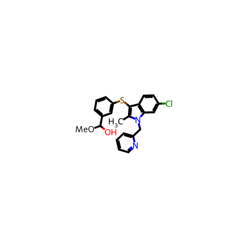 COC(O)c1cccc(Sc2c(C)n(Cc3ccccn3)c3cc(Cl)ccc23)c1